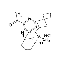 CO[C@@]1(c2ccnc(C(N)=O)c2)[C@@H]2CCC[C@H]1CN(C1CC3(CCC3)C1)C2.Cl